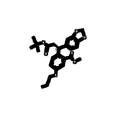 CCCOc1ccc([C@@H](CC(=O)OC(C)(C)C)c2ccc3c(c2)OCO3)c(C(=O)OC)c1